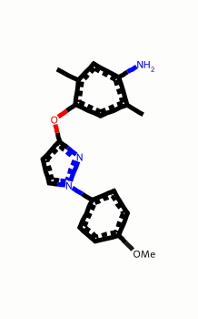 COc1ccc(-n2ccc(Oc3cc(C)c(N)cc3C)n2)cc1